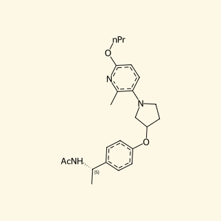 CCCOc1ccc(N2CCC(Oc3ccc([C@H](C)NC(C)=O)cc3)C2)c(C)n1